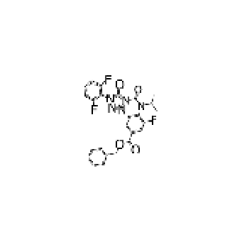 CC(C)N(C(=O)n1nnn(-c2c(F)cccc2F)c1=O)c1ccc(C(=O)OCc2ccccc2)cc1F